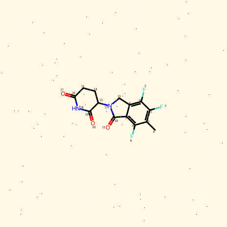 Cc1c(F)c(F)c2c(c1F)C(=O)N(C1CCC(=O)NC1=O)C2